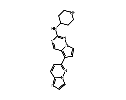 c1cn2nc(-c3ccn4nc(NC5CCNCC5)ncc34)ccc2n1